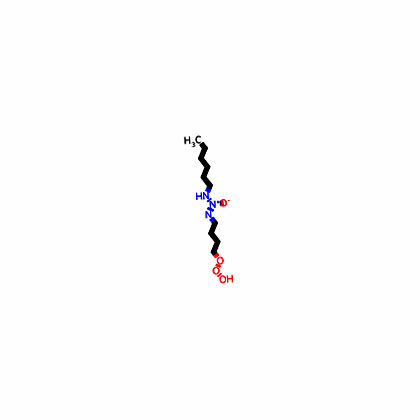 CCCCCCN[N+]([O-])=NCCCCOOO